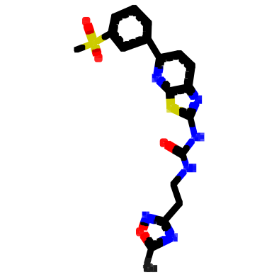 CC(C)(C)c1nc(CCNC(=O)Nc2nc3ccc(-c4cccc(S(C)(=O)=O)c4)nc3s2)no1